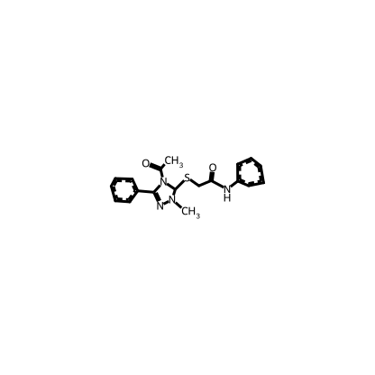 CC(=O)N1C(c2ccccc2)=NN(C)C1SCC(=O)Nc1ccccc1